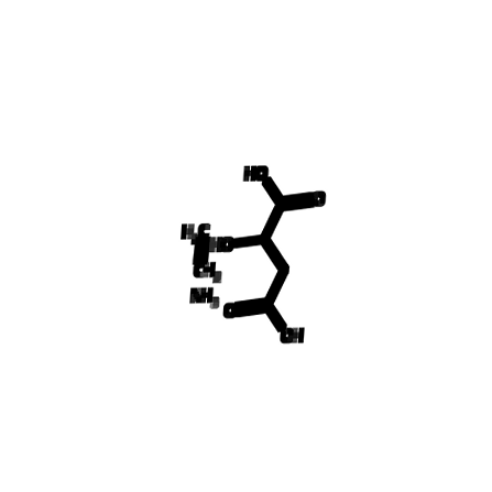 C=C.N.O=C(O)CC(O)C(=O)O